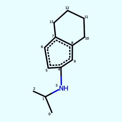 CC(C)Nc1ccc2c(c1)CCCC2